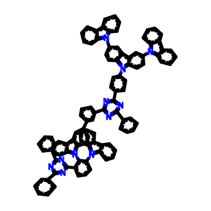 c1ccc(-c2nc(-c3ccc(-n4c5ccc(-n6c7ccccc7c7ccccc76)cc5c5cc(-n6c7ccccc7c7ccccc76)ccc54)cc3)nc(-c3cccc(-c4ccc5c(c4)c4ccccc4n5-c4c(-c5nc(-c6ccccc6)nc(-c6ccccc6)n5)cccc4-n4c5ccccc5c5ccccc54)c3)n2)cc1